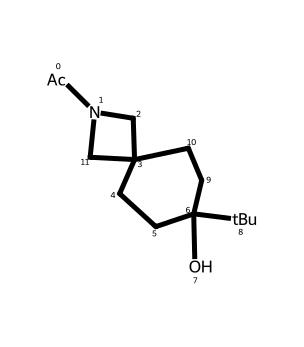 CC(=O)N1CC2(CCC(O)(C(C)(C)C)CC2)C1